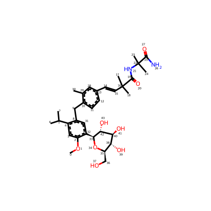 COc1cc(C(C)C)c(Cc2ccc(C=CC(C)(C)C(=O)NC(C)(C)C(N)=O)cc2C)cc1[C@@H]1O[C@H](CO)[C@@H](O)[C@H](O)[C@H]1O